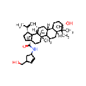 C=C(C)[C@@H]1CC[C@]2(C(=O)NC3C=CC(CO)C3)CC[C@]3(C)[C@H](CC[C@@H]4[C@@]5(C)CC[C@H](O)C(C)(C)[C@@H]5CC[C@]43C)[C@@H]12